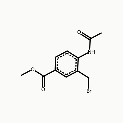 COC(=O)c1ccc(NC(C)=O)c(CBr)c1